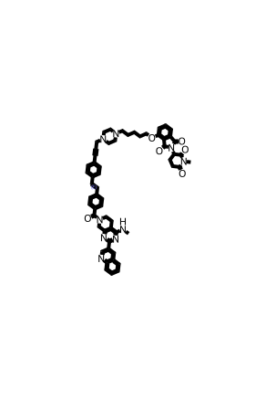 CNc1nc(-c2cnc3ccccc3c2)nc2c1CCN(C(=O)c1ccc(/C=C/c3ccc(C#CCN4CCN(CCCCCOc5cccc6c5C(=O)N(C5CCC(=O)N(C)C5=O)C6=O)CC4)cc3)cc1)C2